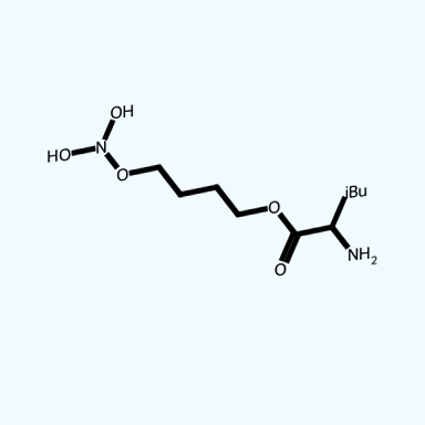 CCC(C)C(N)C(=O)OCCCCON(O)O